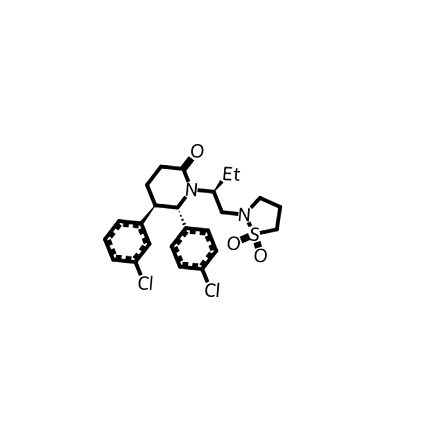 CC[C@@H](CN1CCCS1(=O)=O)N1C(=O)CC[C@H](c2cccc(Cl)c2)[C@H]1c1ccc(Cl)cc1